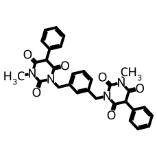 CN1C(=O)C(c2ccccc2)C(=O)N(Cc2cccc(CN3C(=O)C(c4ccccc4)C(=O)N(C)C3=O)c2)C1=O